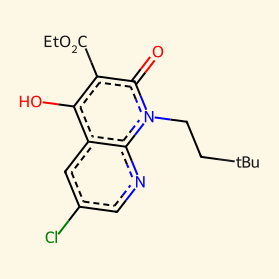 CCOC(=O)c1c(O)c2cc(Cl)cnc2n(CCC(C)(C)C)c1=O